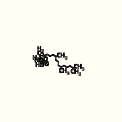 C=CC(C)(CCCC(C)CCCC(C)CCCC(C)C)OP(=O)(O)O